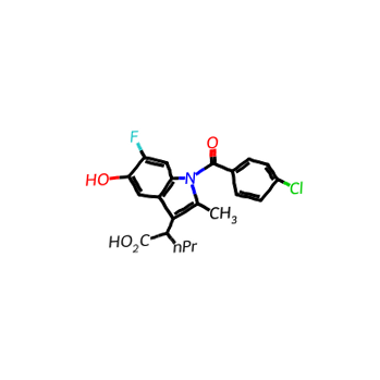 CCCC(C(=O)O)c1c(C)n(C(=O)c2ccc(Cl)cc2)c2cc(F)c(O)cc12